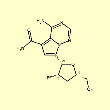 NC(=O)c1cc([C@@H]2O[C@H](CO)C[C@@H]2F)n2ncnc(N)c12